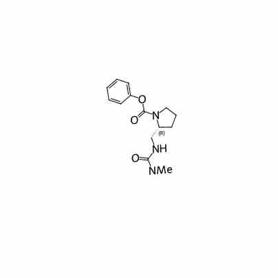 CNC(=O)NC[C@H]1CCCN1C(=O)Oc1ccccc1